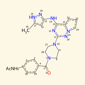 CC(=O)Nc1ccc(C(=O)N2CCN(c3nc(Nc4cc(C)[nH]n4)c4cccn4n3)CC2)cc1